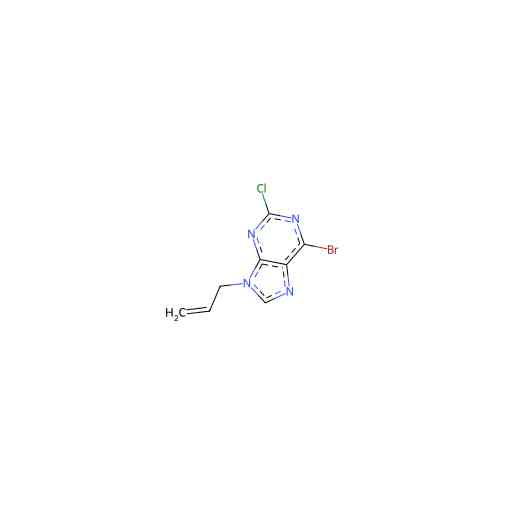 C=CCn1cnc2c(Br)nc(Cl)nc21